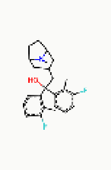 Cc1c(F)cccc1C(O)(CC1CC2CCC(C1)N2C)c1cccc(F)c1C